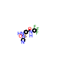 CN1CCC(N2Sc3cc(C(=O)Nc4cc(F)c(F)c(F)c4)ccc3NC2=O)CC1